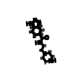 O=C(NCCN1CCNCC1)c1ccc2[nH]nnc2c1